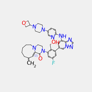 C=C1/C=C2/C(=O)N(c3cc(F)cc(-c4cc(Nc5ccc(N6CCN(C7COC7)CC6)cn5)c5ncnn5c4)c3CO)CCN2CCCCC1